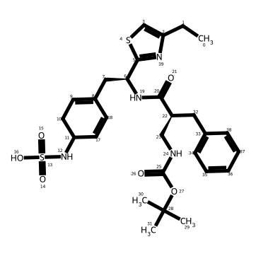 CCc1csc([C@H](CC2=CCC(NS(=O)(=O)O)C=C2)NC(=O)[C@H](CNC(=O)OC(C)(C)C)Cc2ccccc2)n1